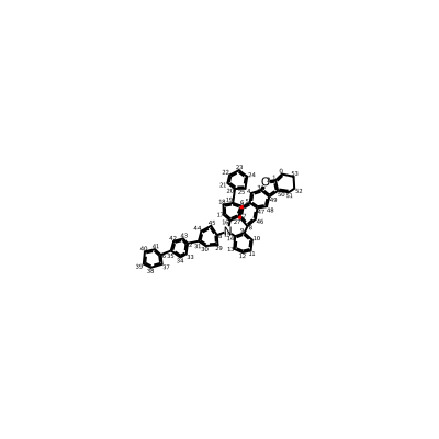 C1=c2oc3cc4ccc(-c5ccccc5N(c5ccc(-c6ccccc6)cc5)c5ccc(-c6ccc(-c7ccccc7)cc6)cc5)cc4cc3c2=CCC1